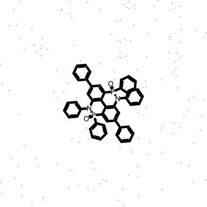 O=P1(c2ccccc2)c2cc(-c3ccccc3)cc3c2-c2c(cc(-c4ccccc4)cc2P(=O)(c2ccccc2)N3c2ccccc2)N1c1ccccc1